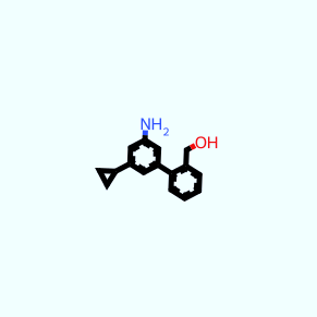 Nc1cc(-c2ccccc2CO)cc(C2CC2)c1